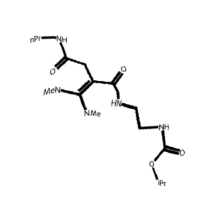 CCCNC(=O)CC(C(=O)NCCNC(=O)OC(C)C)=C(NC)NC